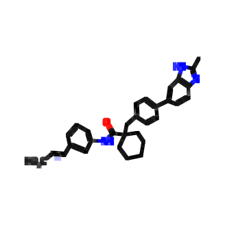 Cc1nc2ccc(-c3ccc(CC4(C(=O)Nc5cccc(/C=C/C(=O)O)c5)CCCCC4)cc3)cc2[nH]1